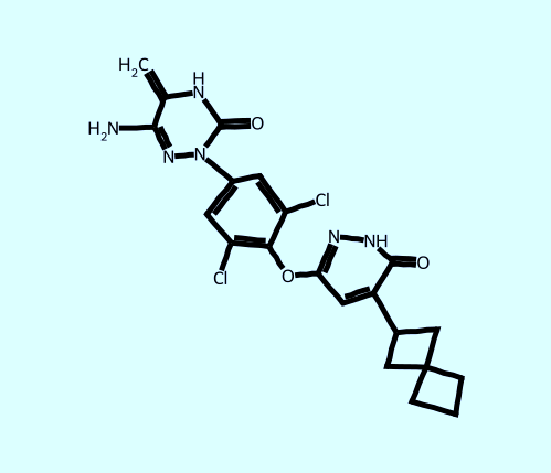 C=C1NC(=O)N(c2cc(Cl)c(Oc3cc(C4CC5(CCC5)C4)c(=O)[nH]n3)c(Cl)c2)N=C1N